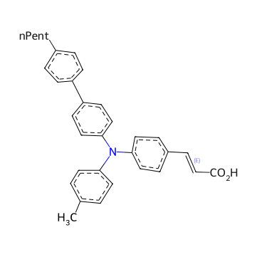 CCCCCc1ccc(-c2ccc(N(c3ccc(C)cc3)c3ccc(/C=C/C(=O)O)cc3)cc2)cc1